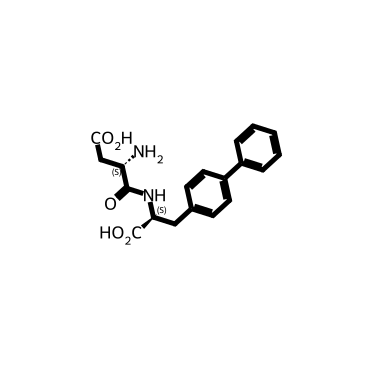 N[C@@H](CC(=O)O)C(=O)N[C@@H](Cc1ccc(-c2ccccc2)cc1)C(=O)O